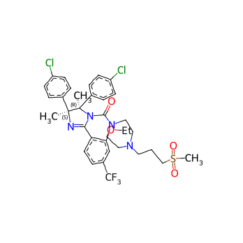 CCOc1cc(C(F)(F)F)ccc1C1=N[C@@](C)(c2ccc(Cl)cc2)[C@@](C)(c2ccc(Cl)cc2)N1C(=O)N1CCN(CCCS(C)(=O)=O)CC1